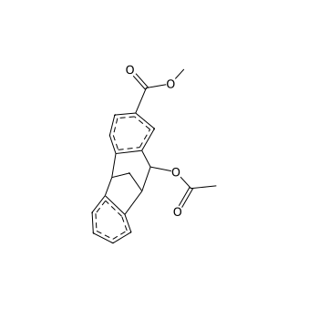 COC(=O)c1ccc2c(c1)C(OC(C)=O)C1CC2c2ccccc21